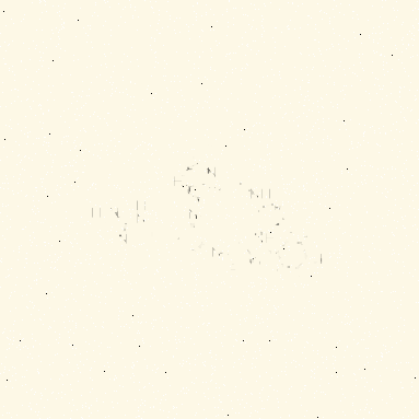 CC[C@@H]1NC(=O)[C@H](CCCNC(=N)N)NC(=O)[C@](C)(NC(=O)C(C)C)CCNC(=O)[C@@H](Cc2cccc(F)c2)NC1=O